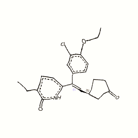 CCOc1ccc(/C(=C\[C@H]2CCC(=O)C2)c2ccc(CC)c(=O)[nH]2)cc1Cl